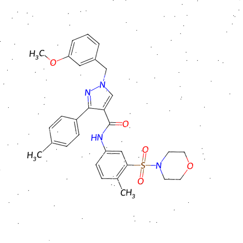 COc1cccc(Cn2cc(C(=O)Nc3ccc(C)c(S(=O)(=O)N4CCOCC4)c3)c(-c3ccc(C)cc3)n2)c1